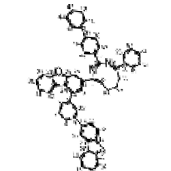 C1=C(c2cc(-c3cccc(-c4ccc5sc6ccccc6c5c4)c3)c3c(c2)oc2ccccc23)/N=C(c2ccc(-c3ccccc3)cc2)\N=C(\c2ccccc2)CCC/1